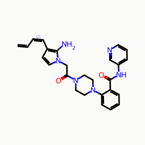 C=C/C=C\c1ccn(CC(=O)N2CCN(c3ccccc3C(=O)Nc3cccnc3)CC2)c1N